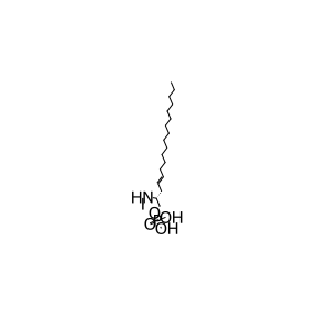 CCCCCCCCCCCCC/C=C/C[C@H](COP(=O)(O)O)NI